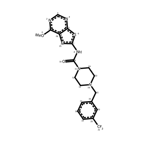 COc1ncnc2sc(NC(=O)N3CCN(Cc4cccc(C(F)(F)F)c4)CC3)nc12